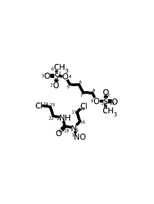 CS(=O)(=O)OCCCCOS(C)(=O)=O.O=NN(CCCl)C(=O)NCCCl